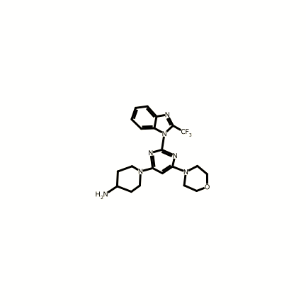 NC1CCN(c2cc(N3CCOCC3)nc(-n3c(C(F)(F)F)nc4ccccc43)n2)CC1